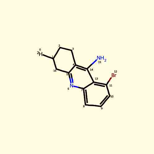 [2H]C1CCc2c(nc3cccc(Br)c3c2N)C1